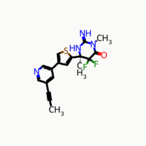 CC#Cc1cncc(-c2csc([C@@]3(C)NC(=N)N(C)C(=O)C3(F)F)c2)c1